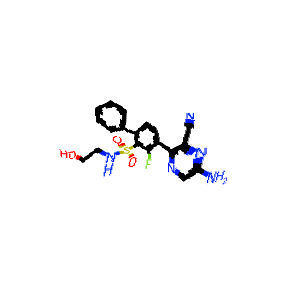 N#Cc1nc(N)cnc1-c1ccc(-c2ccccc2)c(S(=O)(=O)NCCO)c1F